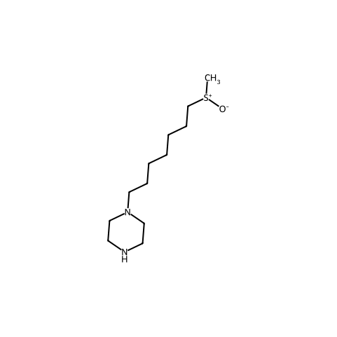 C[S+]([O-])CCCCCCCN1CCNCC1